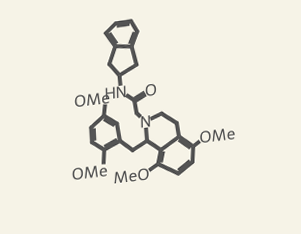 COc1ccc(OC)c(CC2c3c(OC)ccc(OC)c3CCN2CC(=O)NC2Cc3ccccc3C2)c1